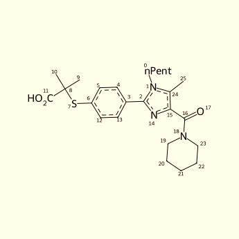 CCCCCn1c(-c2ccc(SC(C)(C)C(=O)O)cc2)nc(C(=O)N2CCCCC2)c1C